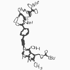 COC(=O)CC[C@H](NC(=O)c1ccc(C#Cn2cnc3nc(C)c(COC(=O)C(C)(C)C)c-3c2O)cc1)C(=O)OC